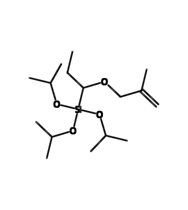 C=C(C)COC(CC)[Si](OC(C)C)(OC(C)C)OC(C)C